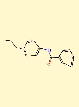 CCCc1ccc(NC(=O)c2ccccc2)cc1